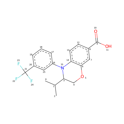 CC(C)C1COc2cc(C(=O)O)ccc2N1c1cccc(C(F)(F)F)c1